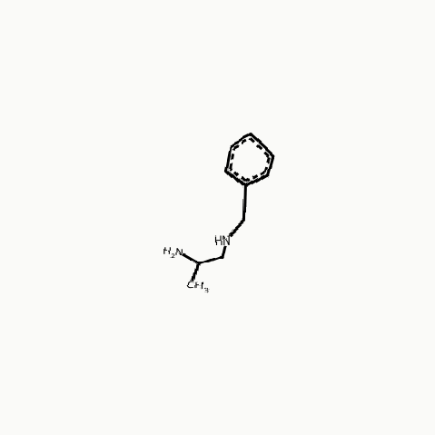 CC(N)CNCc1ccccc1